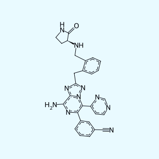 N#Cc1cccc(-c2nc(N)c3nc(Cc4ccccc4CN[C@H]4CCNC4=O)nn3c2-c2ccncn2)c1